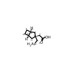 O=C(O)C[C@]1(C[AsH2])C[C@H]2CC[C@H]2C1